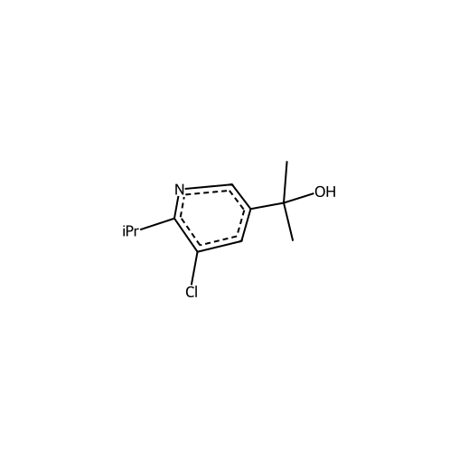 CC(C)c1ncc(C(C)(C)O)cc1Cl